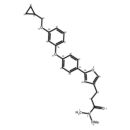 CON(C)C(=O)CCc1coc(-c2ccc(Oc3cccc(OCC4CC4)c3)cc2)n1